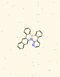 c1ccc2c(c1)-c1cc3ccccc3cc1N1c3ncccc3-c3ccccc3P21